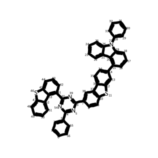 c1ccc(-c2nc(-c3ccc4sc5cc(-c6cccc7c6c6ccccc6n7-c6ccccc6)ccc5c4c3)nc(-c3cccc4sc5ccccc5c34)n2)cc1